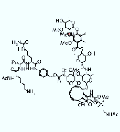 CCN(C(=O)OCc1ccc(NC(=O)[C@H](CCCNC(N)=O)NC(=O)[C@@H](NC(=O)[C@H](CCCCN)NC(C)=O)C(C)C)cc1)[C@H]1CO[C@@H](O[C@H]2[C@H](O[C@H]3C#C/C=C\C#C[C@]4(O)CC(=O)C(NC(=O)OC)=C3/C4=C\CSSC(C)(C)CCNC(C)=O)O[C@H](C)[C@@H](NO[C@H]3C[C@H](O)[C@H](SC(=O)c4c(C)c(I)c(O[C@@H]5O[C@@H](C)[C@H](O)[C@@H](OC)[C@H]5O)c(OC)c4OC)[C@@H](C)O3)[C@@H]2O)C[C@@H]1OC